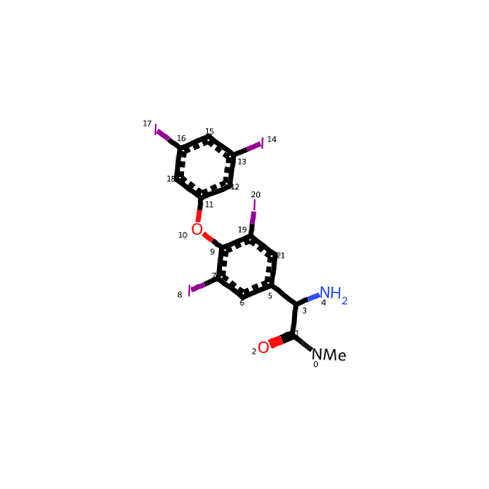 CNC(=O)C(N)c1cc(I)c(Oc2cc(I)cc(I)c2)c(I)c1